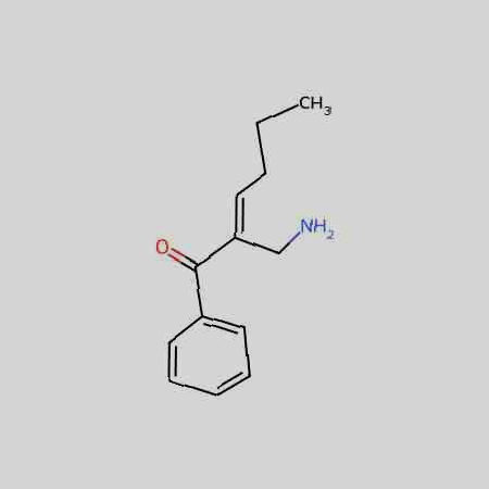 CCCC=C(CN)C(=O)c1ccccc1